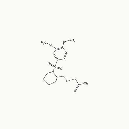 COc1ccc(S(=O)(=O)N2CCCCC2COCC(=O)O)cc1OC